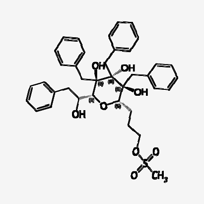 CS(=O)(=O)OCCC[C@@H]1O[C@H](C(O)Cc2ccccc2)[C@](O)(Cc2ccccc2)[C@@](O)(Cc2ccccc2)[C@]1(O)Cc1ccccc1